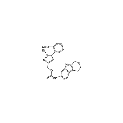 CCn1nc(COC(=O)Nc2ccc3c(c2)nc2n3CCOC2)cc1-c1ccccc1OC